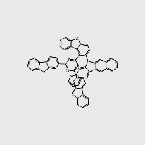 c1ccc2cc3c(cc2c1)c1cc2ccccc2cc1n3-c1ccc2oc3ccccc3c2c1-c1nc(-c2ccc3c(c2)oc2ccccc23)nc(-c2ccc3c(c2)sc2ccccc23)n1